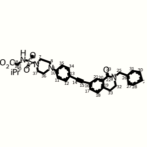 CC(C)[C@@H](NS(=O)(=O)N1CCN(c2ccc(C#Cc3ccc4c(c3)C(=O)N(Cc3ccccc3)CC4)cc2)CC1)C(=O)O